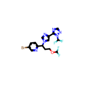 FC(F)OCCC(c1ccc(Br)cn1)n1cnc(-c2ncnn2C(F)F)c1